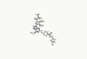 Nc1nc(CCC2CCN(C(=O)OCC3CCNC3)CC2)nc2c1ncn2[C@@H]1O[C@H](C(=O)NC2CC2)C(O)C1O